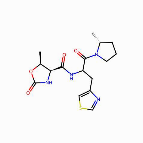 C[C@@H]1OC(=O)N[C@@H]1C(=O)NC(Cc1cscn1)C(=O)N1CCC[C@H]1C